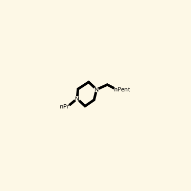 CCCCCCN1CCN(CCC)CC1